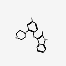 Cc1ccc(Sc2c(C)[nH]c3ccccc23)c(N2CCNCC2)c1